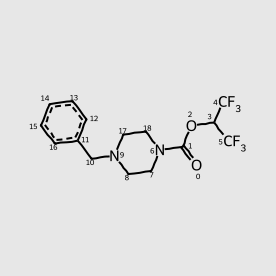 O=C(OC(C(F)(F)F)C(F)(F)F)N1CCN(Cc2ccccc2)CC1